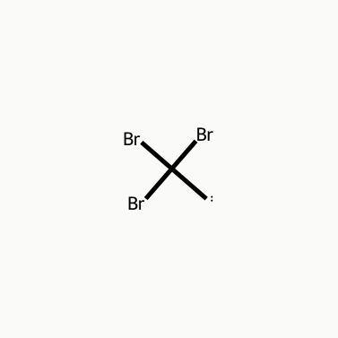 [CH]C(Br)(Br)Br